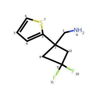 NCC1(c2cccs2)CC(F)(F)C1